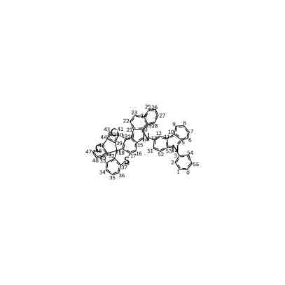 c1ccc(-n2c3ccccc3c3cc(-n4c5cc6c(cc5c5ccc7ccccc7c54)C4(c5ccccc5S6)c5ccccc5-c5ccccc54)ccc32)cc1